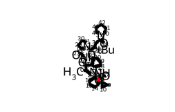 CC1=C[N@+](NS(=O)(=O)C2CC2)(c2ccccc2)c2ccccc2[C@@H]1ONC(=O)[C@@H]1CCCN1C(=O)[C@@H](CC(=O)N1CCCCC1)C(C)(C)C